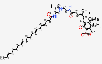 CCC=CCC=CCC=CCC=CCC=CCC=CCCC(=O)NCCN(C)CCNC(=O)CCC(C)=CCc1c(O)c2c(c(C)c1OC)COC2=O